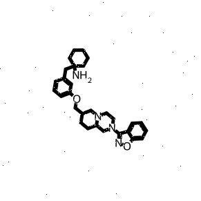 NC1(Cc2cccc(OCC3CCC4CN(c5noc6ccccc56)CCN4C3)c2)CCCCC1